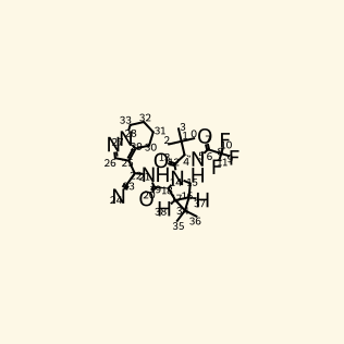 CC(C)(C)[C@H](NC(=O)C(F)(F)F)C(=O)N1C[C@H]2[C@@H]([C@H]1C(=O)NC(C#N)c1cnn3c1CCCC3)C2(C)C